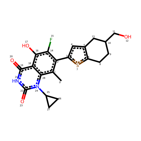 Cc1c(-c2cc3c(s2)CCC(CO)C3)c(F)c(O)c2c(=O)[nH]c(=O)n(C3CC3)c12